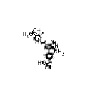 CN(C)C1CCN(CCn2nc(-c3ccc(CC(O)O)cc3)c3c(N)ncnc32)CC1